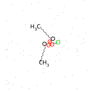 CCCCCCCCCc1ccccc1OP(OCCCl)Oc1ccccc1CCCCCCCCC